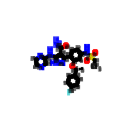 C[C@@H](Oc1cc(NS(=O)(=O)CC(F)(F)F)ccc1-c1n[nH]c(Nc2cnccn2)c1C(N)=O)c1ccc(F)cc1